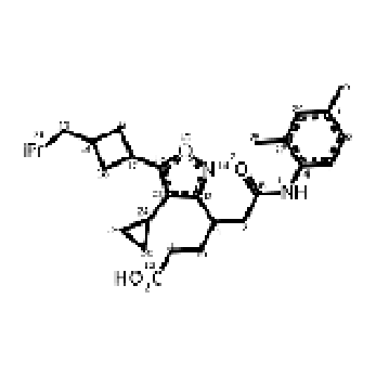 Cc1ccc(NC(=O)CC(CCC(=O)O)c2noc(C3CC(CC(C)C)C3)c2C2CC2)c(C)c1